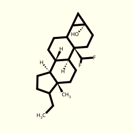 CCC1CC[C@H]2[C@@H]3CCC4C5C[C@@]5(O)CC[C@]4(C(F)F)[C@H]3CC[C@]12C